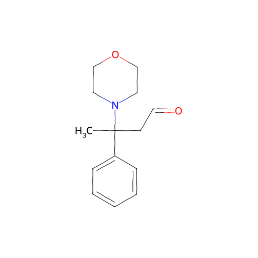 CC(CC=O)(c1ccccc1)N1CCOCC1